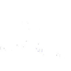 CCCCc1cc(C)cc(CCCC)c1N